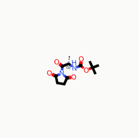 C[C@H](NC(=O)OC(C)(C)C)C(=O)N1C(=O)CCC1=O